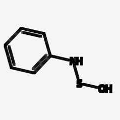 OSNc1ccccc1